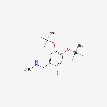 CC(C)(C)[Si](C)(C)Oc1cc(I)c(CNC=O)cc1O[Si](C)(C)C(C)(C)C